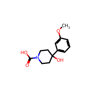 COc1cccc(C2(O)CCN(C(=O)O)CC2)c1